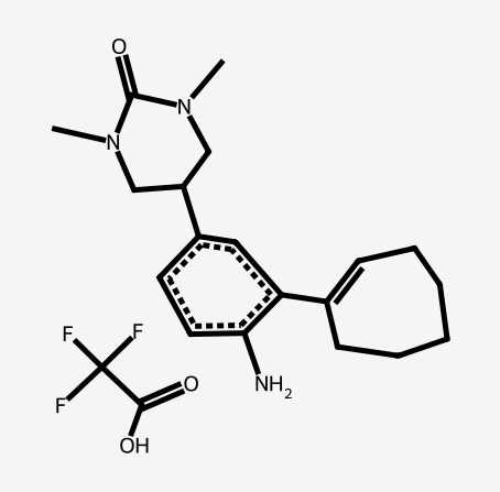 CN1CC(c2ccc(N)c(C3=CCCCCC3)c2)CN(C)C1=O.O=C(O)C(F)(F)F